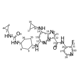 O=C(NC1CC1)NC1CCC(Nc2cc(NC3CC3)c3ncc(C(=O)Nc4ccncc4F)n3n2)CC1